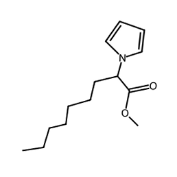 CCCCCCCC(C(=O)OC)n1cccc1